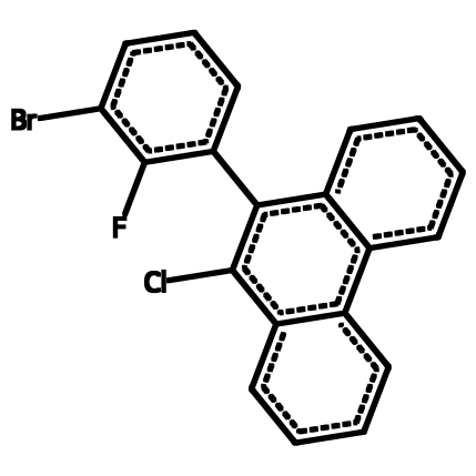 Fc1c(Br)cccc1-c1c(Cl)c2ccccc2c2ccccc12